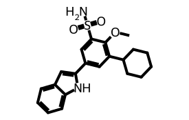 COc1c(C2CCCCC2)cc(-c2cc3ccccc3[nH]2)cc1S(N)(=O)=O